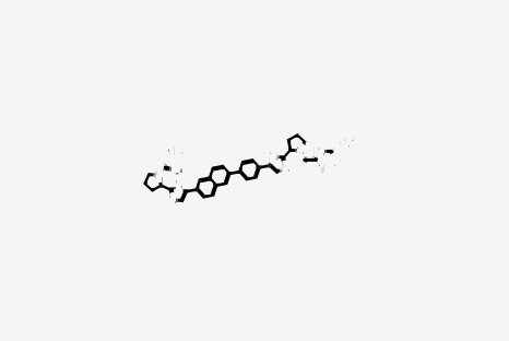 COC(=O)N[C@H](C(=O)N1CCCC1c1ncc(-c2ccc(-c3ccc4cc(-c5cnc(C6CCCN6C(=O)OC(C)(C)C)[nH]5)ccc4c3)cc2)[nH]1)C(C)C